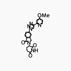 COc1ccnc(-c2cn(-c3ccc4c(c3)CN(C3CCC(=O)NC3=O)C4=O)nn2)c1